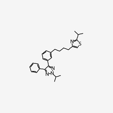 CC(C)c1nc(CCCCc2cccc(-c3nn(C(C)C)nc3-c3ccccc3)c2)cs1